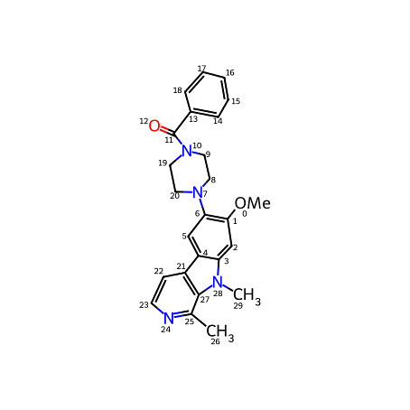 COc1cc2c(cc1N1CCN(C(=O)c3ccccc3)CC1)c1ccnc(C)c1n2C